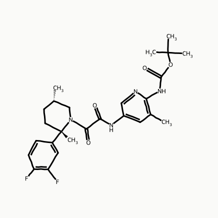 Cc1cc(NC(=O)C(=O)N2C[C@@H](C)CC[C@@]2(C)c2ccc(F)c(F)c2)cnc1NC(=O)OC(C)(C)C